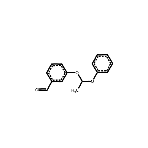 CC(Oc1ccccc1)Oc1cccc(C=O)c1